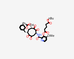 CCCCOC(=O)CCCC(=O)Oc1c(OC)ccnc1C(=O)N[C@H]1CC(=O)C(=O)[C@H](Cc2ccccc2)[C@H](OC(=O)C(C)C)[C@H](C)C(=O)C1=O